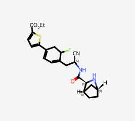 CCOC(=O)c1ccc(C2=CC=C(C[C@@H](C#N)NC(=O)[C@H]3N[C@@H]4CC[C@H]3C4)C(F)C2)s1